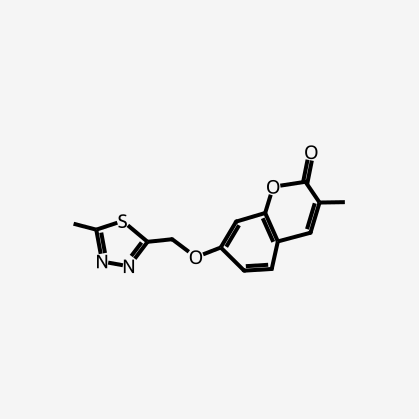 Cc1nnc(COc2ccc3cc(C)c(=O)oc3c2)s1